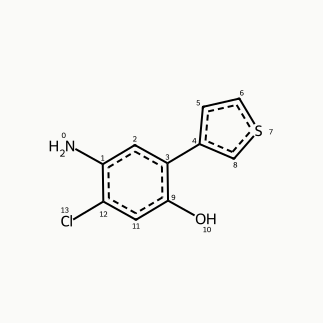 Nc1cc(-c2ccsc2)c(O)cc1Cl